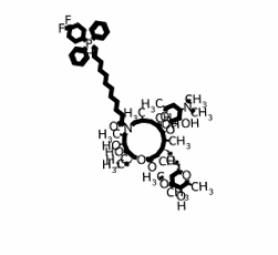 CC[C@H]1OC(=O)[C@H](C)[C@@H](COC[C@H]2C[C@@](C)(OC)[C@@H](O)[C@H](C)O2)[C@H](C)[C@@H](O[C@@H]2O[C@H](C)C[C@H](N(C)C)[C@H]2O)[C@](C)(O)C[C@@H](C)CN(C(=O)CCCCCCCCCCC[PH](c2ccccc2)(c2ccccc2)C2CCC(F)(F)CC2)[C@H](C)[C@@H](O)[C@]1(C)O